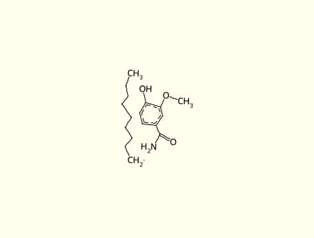 COc1cc(C(N)=O)ccc1O.[CH2]CCCCCCCC